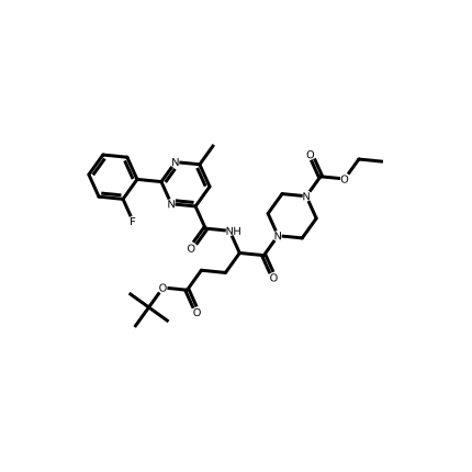 CCOC(=O)N1CCN(C(=O)C(CCC(=O)OC(C)(C)C)NC(=O)c2cc(C)nc(-c3ccccc3F)n2)CC1